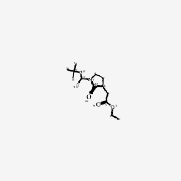 CCOC(=O)CC1CCN(C(=O)OC(C)(C)C)C1=O